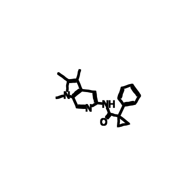 Cc1c(C)n(C)c2cnc(NC(=O)C3(c4ccccc4)CC3)cc12